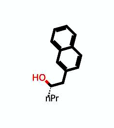 CCC[C@H](O)Cc1ccc2ccccc2c1